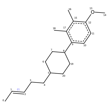 C/C=C/CCC1CCC(c2ccc(OC)c(C)c2C)CC1